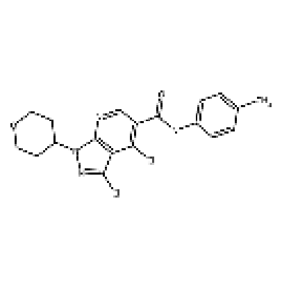 Cc1ccc(NC(=O)c2cnc3c(c(Cl)nn3C3CCOCC3)c2Cl)cc1